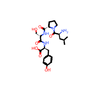 CC(C)C[C@H](N)C(=O)N1CCC[C@H]1C(=O)N[C@@H](CO)C(=O)N[C@@H](Cc1ccc(O)cc1)C(=O)O